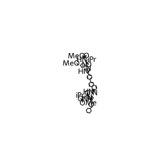 COC[C@H]1C[C@@H](c2ncc(-c3ccc(-c4ccc5c(ccc6nc([C@@H]7C[C@H](COCC8CCCCC8)CN7C(=O)[C@@H](NC(=O)OC)C(C)C)[nH]c65)c4)cc3)[nH]2)N(C(=O)[C@@H](NC(=O)OC)C(C)C)C1